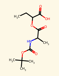 CCC(OC(=O)C(C)NC(=O)OC(C)(C)C)C(=O)O